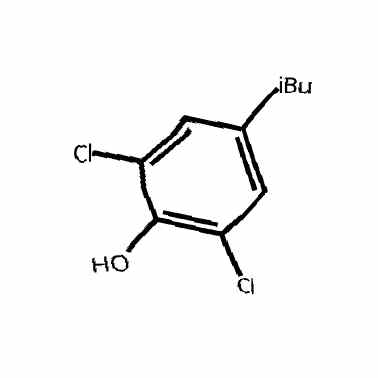 CCC(C)c1cc(Cl)c(O)c(Cl)c1